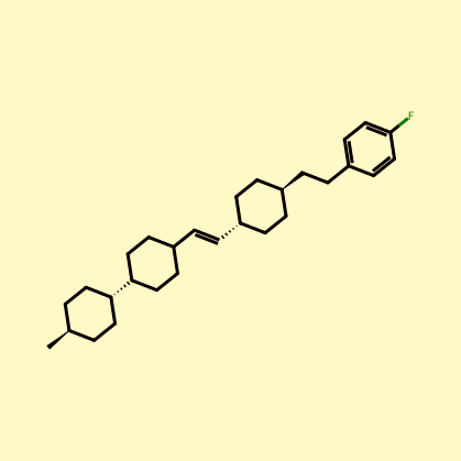 C[C@H]1CC[C@H](C2CCC(/C=C/[C@H]3CC[C@H](CCc4ccc(F)cc4)CC3)CC2)CC1